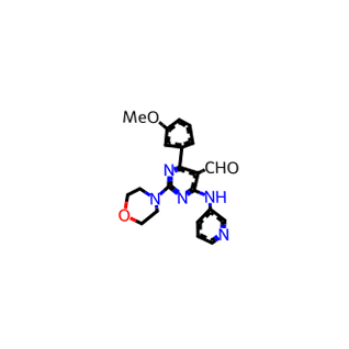 COc1cccc(-c2nc(N3CCOCC3)nc(Nc3cccnc3)c2C=O)c1